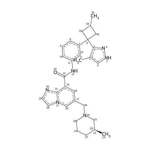 Cc1c[nH]nc1C1(c2cccc(NC(=O)c3cc(CN4CCC[C@H](C)C4)cn4ccnc34)c2)CC(C)C1